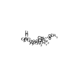 CCOC(=O)CCCCOc1c(C)c(C)c2c(c1C)CCC(C)(COc1ccc(/C=C3/SC(=O)NC3=O)cc1C(F)(F)F)O2